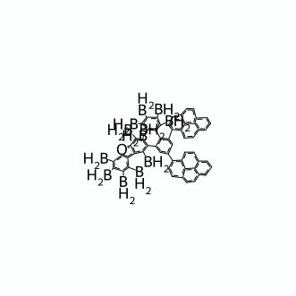 Bc1c(B)c(B)c(-c2c(-c3c(B)c(B)c4oc5c(B)c(B)c(B)c(B)c5c4c3B)cc(-c3ccc4ccc5cccc6ccc3c4c56)cc2-c2ccc3ccc4cccc5ccc2c3c45)c(B)c1B